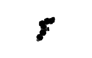 CN1CCN(c2ccc(Nc3nc4c(-c5ccc(CS(C)(=O)=O)cc5)cccn4n3)cc2)CC1